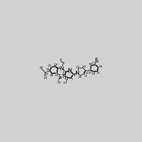 CCN(c1nc(C)cc(N2CC=C(c3cccc(F)c3)CC2)n1)c1ccc(C(C)C)cc1SC